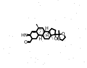 C[C@H]1C[C@@H]2[C@H](CC[C@@]3(C)[C@H]2CC[C@]3(O)C2(C)OCCO2)[C@@]2(C)CC(C=O)C(=N)C=C12